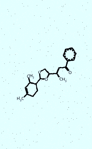 CC1=CC(C)C(C2OCC(C(C)CC(=O)c3ccccc3)O2)CC1